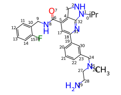 CC(C)N1NCc2c(C(=O)NCc3ccccc3F)cc(-c3cccc(CN(C)CCN)c3)nc21